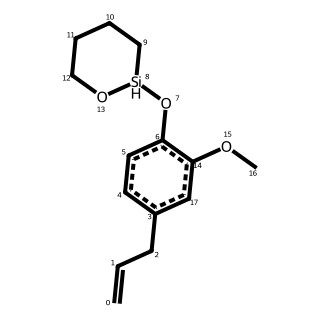 C=CCc1ccc(O[SiH]2CCCCO2)c(OC)c1